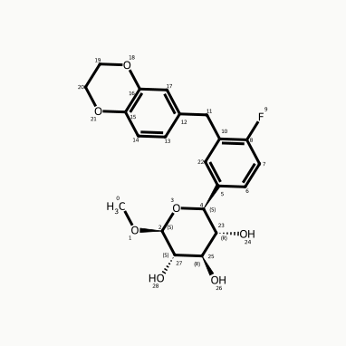 CO[C@H]1O[C@@H](c2ccc(F)c(Cc3ccc4c(c3)OCCO4)c2)[C@H](O)[C@@H](O)[C@@H]1O